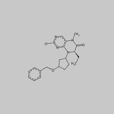 CC[C@@H]1C(=O)N(C)c2cnc(Cl)nc2N1C1CCC(OCc2ccccc2)C1